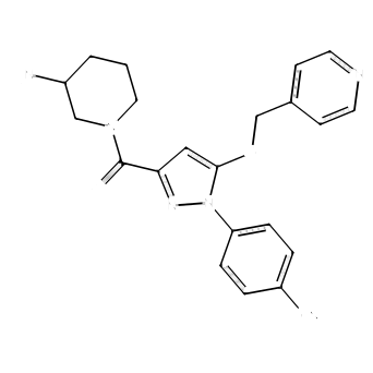 N#Cc1ccc(-n2nc(C(=O)N3CCCC(N)C3)cc2OCc2ccncc2)cc1